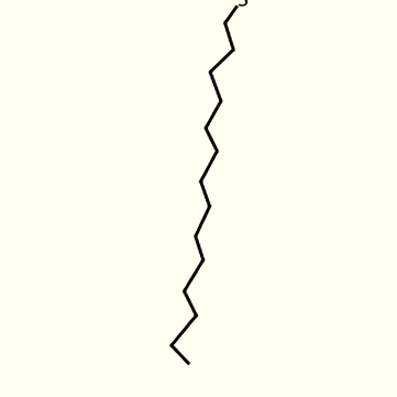 CCCCCCCCCCCCCC[S]